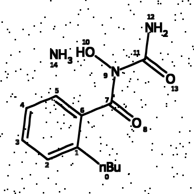 CCCCc1ccccc1C(=O)N(O)C(N)=O.N